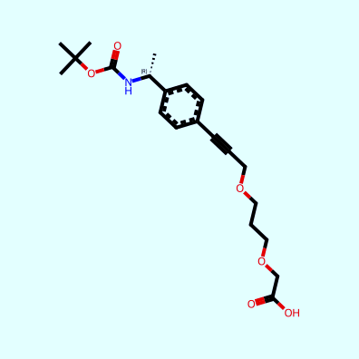 C[C@@H](NC(=O)OC(C)(C)C)c1ccc(C#CCOCCCOCC(=O)O)cc1